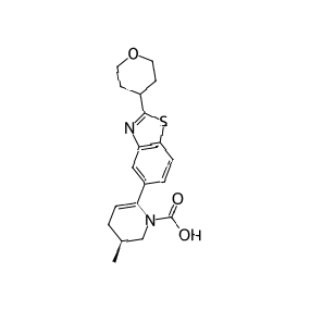 C[C@H]1CC=C(c2ccc3sc(C4CCOCC4)nc3c2)N(C(=O)O)C1